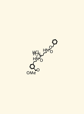 COC(=O)c1cccc(CCNC(=O)[C@@H](N)CCCNC(=O)OCc2ccccc2)c1.Cl